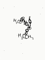 CC(C)COc1ccc(CC(=O)N(Cc2ccc(F)cc2)C2CCN(CCC3OCC[C@@H](C)O3)CC2)cc1